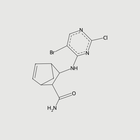 NC(=O)C1C2C=CC(C2)C1Nc1nc(Cl)ncc1Br